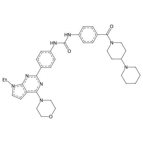 CCn1ccc2c(N3CCOCC3)nc(-c3ccc(NC(=O)Nc4ccc(C(=O)N5CCC(N6CCCCC6)CC5)cc4)cc3)nc21